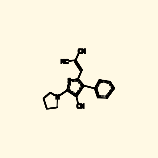 N#CC(C#N)=Cc1sc(N2CCCC2)c(C#N)c1-c1ccccc1